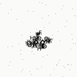 Cc1nc2c(Nc3ccc(C4=NC(C)(C)CO4)cc3S(C)(=O)=O)cc(NC(=O)[C@@H]3C[C@@H]3F)nc2n1C1CCCCO1